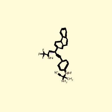 C#CC(C)(N)Nc1ccc(C#C/C(=C\C(=N)C(F)(F)F)c2ccc3c(ccc4ccccc43)c2)cc1